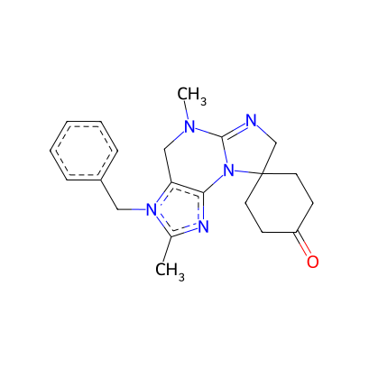 Cc1nc2c(n1Cc1ccccc1)CN(C)C1=NCC3(CCC(=O)CC3)N12